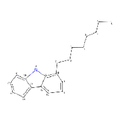 CCCCCCCCc1cccc2c1[N]c1ccccc1-2